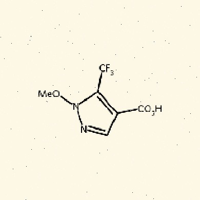 COn1ncc(C(=O)O)c1C(F)(F)F